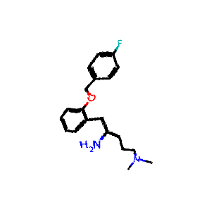 CN(C)CCCC(N)Cc1ccccc1OCc1ccc(F)cc1